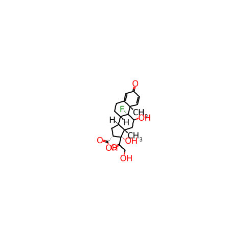 C[C@]12C=CC(=O)C=C1CC[C@H]1[C@@H]3C[C@@H](C(=O)O)[C@](O)(C(=O)CO)[C@@]3(C)C[C@H](O)[C@@]12F